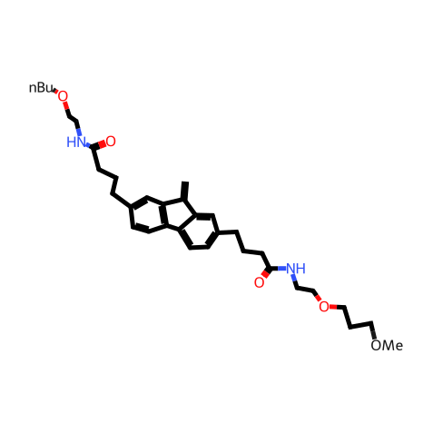 C=C1c2cc(CCCC(=O)NCCOCCCC)ccc2-c2ccc(CCCC(=O)NCCOCCCOC)cc21